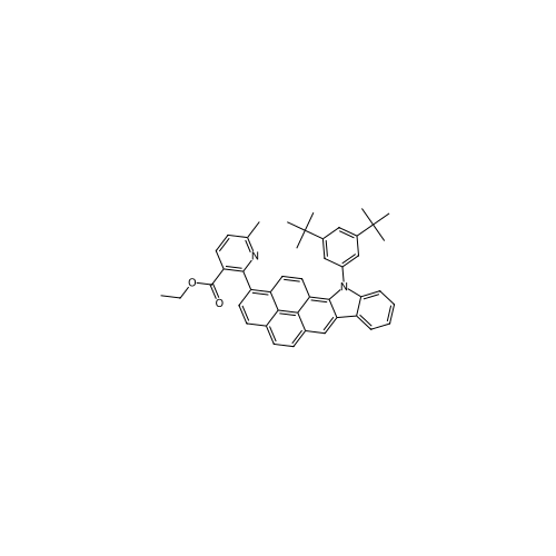 CCOC(=O)c1ccc(C)nc1-c1ccc2ccc3cc4c5ccccc5n(-c5cc(C(C)(C)C)cc(C(C)(C)C)c5)c4c4ccc1c2c34